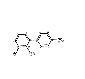 CCCc1cccc(-c2ccc([N+](=O)[O-])cc2)c1N